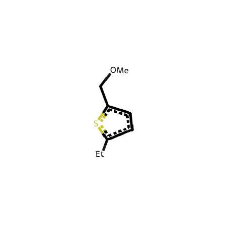 CCc1ccc(COC)s1